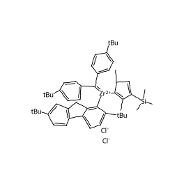 CC1=[C]([Zr+2](=[C](c2ccc(C(C)(C)C)cc2)c2ccc(C(C)(C)C)cc2)[c]2c(C(C)(C)C)ccc3c2Cc2cc(C(C)(C)C)ccc2-3)C(C)C=C1[Si](C)(C)C.[Cl-].[Cl-]